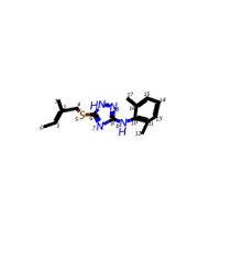 CC=C(C)CSc1nc(Nc2c(C)cccc2C)n[nH]1